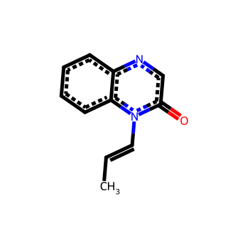 CC=Cn1c(=O)cnc2ccccc21